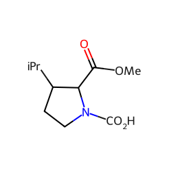 COC(=O)C1C(C(C)C)CCN1C(=O)O